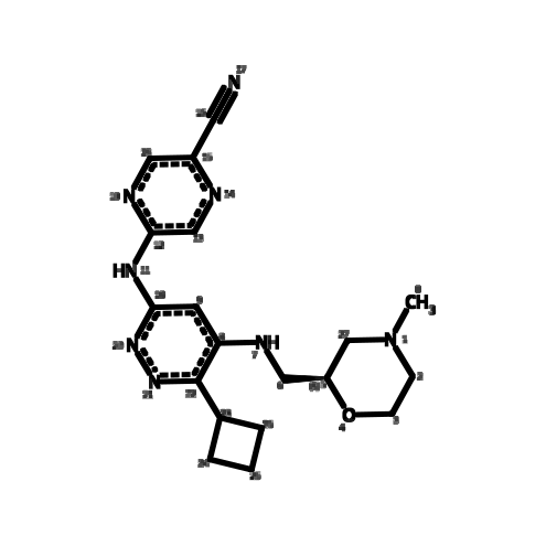 CN1CCO[C@@H](CNc2cc(Nc3cnc(C#N)cn3)nnc2C2CCC2)C1